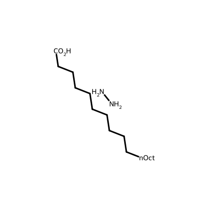 CCCCCCCCCCCCCCCCCC(=O)O.NN